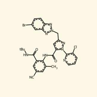 Cc1cc(C#N)cc(C(=O)NC(C)(C)C)c1NC(=O)c1cc(Cn2nc3ccc(Br)cc3n2)nn1-c1ncccc1Cl